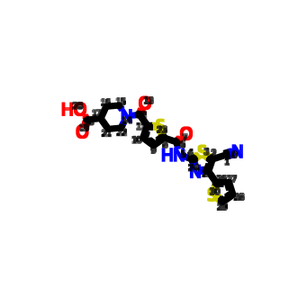 N#Cc1sc(NC(=O)c2ccc(C(=O)N3CCC(C(=O)O)CC3)s2)nc1-c1cccs1